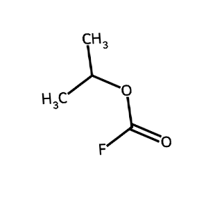 CC(C)OC(=O)F